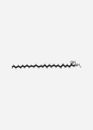 CCCCCCCCCCCCCCCCCCCCCCCCCCCC(O)CN